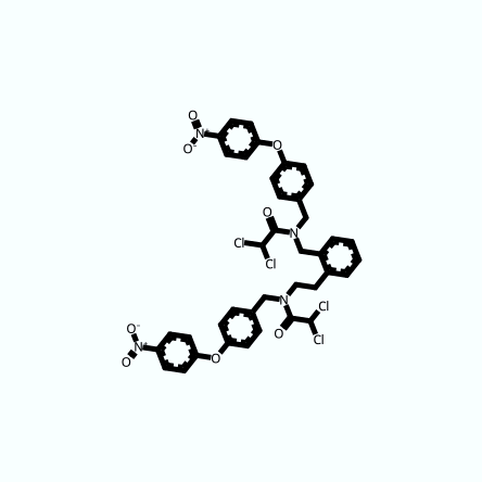 O=C(C(Cl)Cl)N(CCc1ccccc1CN(Cc1ccc(Oc2ccc([N+](=O)[O-])cc2)cc1)C(=O)C(Cl)Cl)Cc1ccc(Oc2ccc([N+](=O)[O-])cc2)cc1